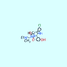 CCN(C)CCN1C(=O)N2C(c3cccc(O)c3)c3[nH]c4ccc(Cl)cc4c3CC2(C)C1=O